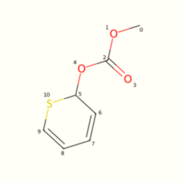 COC(=O)OC1C=CC=CS1